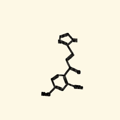 COc1ccc(C(=O)/C=C/c2ncc[nH]2)c(OC)c1